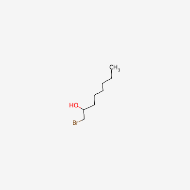 CCCCCCC(O)CBr